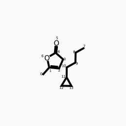 CC1=CCC(=O)O1.CCCCC1CC1